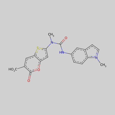 CN(C(=O)Nc1ccc2c(ccn2C)c1)c1cc2oc(=O)c(C(=O)O)cc2s1